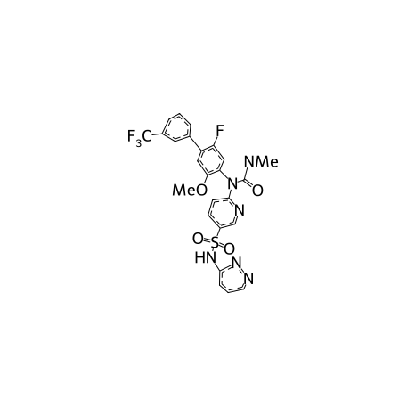 CNC(=O)N(c1ccc(S(=O)(=O)Nc2cccnn2)cn1)c1cc(F)c(-c2cccc(C(F)(F)F)c2)cc1OC